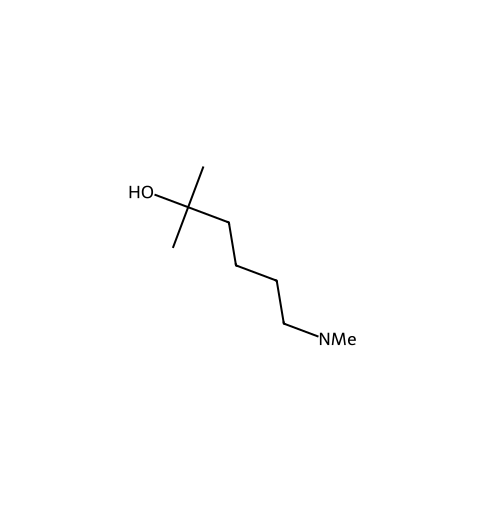 CNCCCCC(C)(C)O